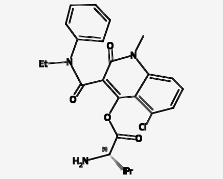 CCN(C(=O)c1c(OC(=O)[C@@H](N)C(C)C)c2c(Cl)cccc2n(C)c1=O)c1ccccc1